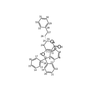 O=C1C=C(OC(c2ccccc2)(c2ccccc2)c2ccccc2)C[C@H](CCc2ccccc2)O1